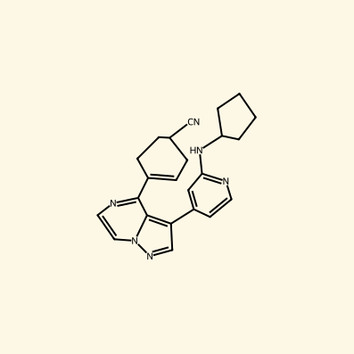 N#CC1CC=C(c2nccn3ncc(-c4ccnc(NC5CCCC5)c4)c23)CC1